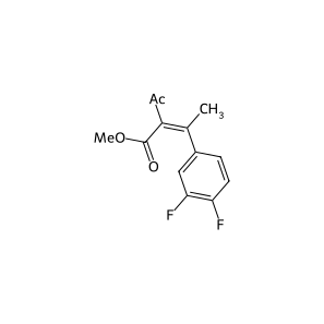 COC(=O)/C(C(C)=O)=C(/C)c1ccc(F)c(F)c1